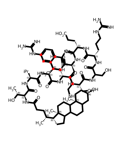 CC(C)[C@H](NC(=O)[C@@H](NC(=O)CC[C@@H](C)[C@H]1CCC2C3CCC4C[C@H](O)CC[C@]4(C)C3CC[C@@]21C)[C@@H](C)O)C(=O)N[C@@H](Cc1ccccc1)C(=O)N[C@H](CCCNC(=N)N)C(=O)N[C@@H](CO)C(=O)NC(CO)C(=O)N[C@@H](CCCNC(=N)N)C(=O)N[C@@H](CCC(=O)O)C(=O)N[C@@H](CCCCN)C(=O)N[C@H](C)CCCNC(=N)N